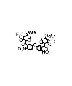 COC(=O)C(C(=O)C(Cl)C(=O)c1cc(Oc2ccc([N+](=O)[O-])c(C(=O)C(Cl)C(=O)C(C(=O)OC)C(F)(F)F)c2)ccc1[N+](=O)[O-])C(F)(F)F